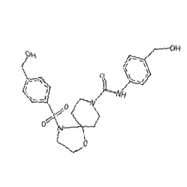 O=C(Nc1ccc(CO)cc1)N1CCC2(CC1)OCCN2S(=O)(=O)c1ccc(CO)cc1